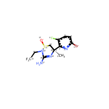 C[C@@]1(c2nc(Br)ccc2F)C[S+]([O-])N(CC(F)(F)F)C(N)=N1